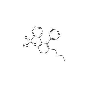 CCCCc1cccc(-c2ccccc2S(=O)(=O)O)c1-c1ccccc1